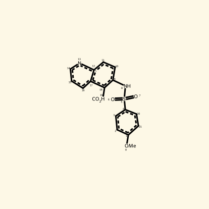 COc1ccc(S(=O)(=O)Nc2ccc3ncccc3c2C(=O)O)cc1